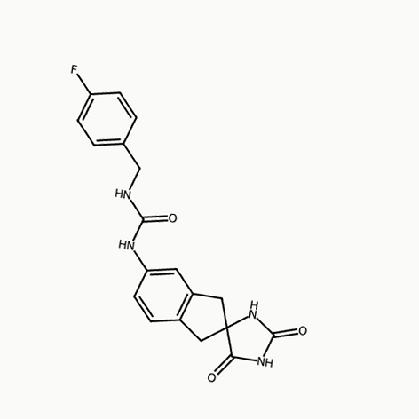 O=C(NCc1ccc(F)cc1)Nc1ccc2c(c1)CC1(C2)NC(=O)NC1=O